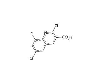 O=C(O)c1cc2cc(Cl)cc(F)c2nc1Cl